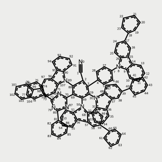 N#Cc1c(-c2ccc(-n3c4ccccc4c4cc(-c5ccccc5)ccc43)cc2)c(-n2c3ccccc3c3cc(-c4ccccc4)ccc32)c(-n2c3ccccc3c3cc(-c4ccccc4)ccc32)c(-c2nc(-c3ccccc3)nc(-c3ccccc3)n2)c1-n1c2ccccc2c2cc(-c3ccccc3)ccc21